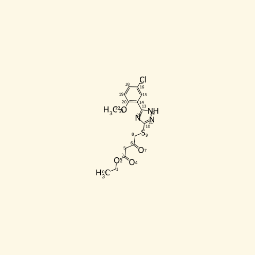 CCOC(=O)CC(=O)CSc1n[nH]c(-c2cc(Cl)ccc2OC)n1